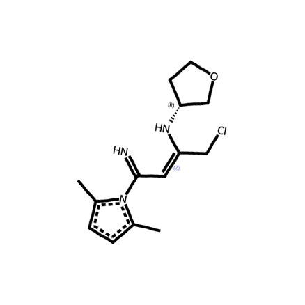 Cc1ccc(C)n1C(=N)/C=C(/CCl)N[C@@H]1CCOC1